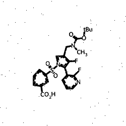 CN(Cc1cn(S(=O)(=O)c2cccc(C(=O)O)c2)c(-c2cccnc2F)c1F)C(=O)OC(C)(C)C